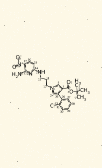 CC(C)(C)OC(=O)c1cn(CCCNc2ccc([N+](=O)[O-])c(N)n2)cc1-c1ccccc1Cl